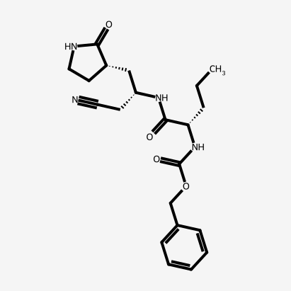 CCC[C@H](NC(=O)OCc1ccccc1)C(=O)N[C@H](CC#N)C[C@@H]1CCNC1=O